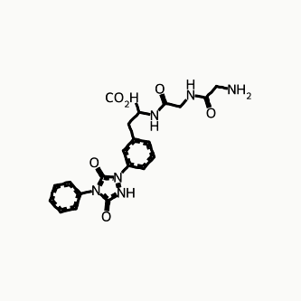 NCC(=O)NCC(=O)NC(Cc1cccc(-n2[nH]c(=O)n(-c3ccccc3)c2=O)c1)C(=O)O